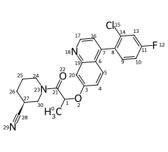 CC(Oc1ccc2c(-c3ccc(F)cc3Cl)ccnc2c1)C(=O)N1CCC[C@H](C#N)C1